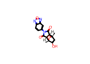 C[C@@]12O[C@@](C)(C[C@H]1O)[C@@H]1C(=O)N(c3ccc4nonc4c3)C(=O)[C@@H]12